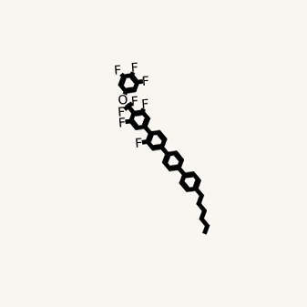 CCCCCCc1ccc(-c2ccc(-c3ccc(-c4cc(F)c(C(F)(F)Oc5cc(F)c(F)c(F)c5)c(F)c4)c(F)c3)cc2)cc1